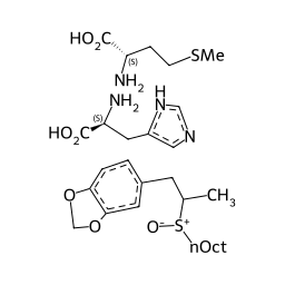 CCCCCCCC[S+]([O-])C(C)Cc1ccc2c(c1)OCO2.CSCC[C@H](N)C(=O)O.N[C@@H](Cc1cnc[nH]1)C(=O)O